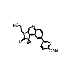 COc1ccc(-c2ccc3ncc4c(c3c2)C2(CC2)C(=O)N4CCC#N)cn1